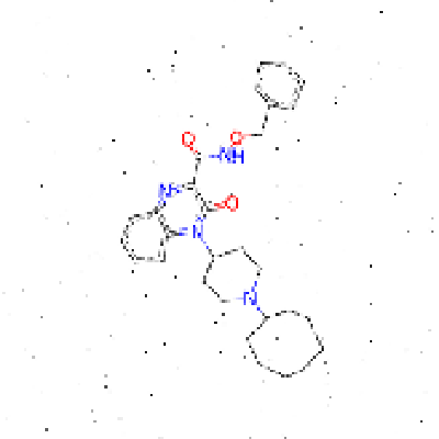 O=C(NOCc1ccccc1)c1nc2ccccc2n(C2CCN(C3CCCCCCC3)CC2)c1=O